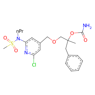 CCCN(c1cc(COCC(C)(Cc2ccccc2)OC(N)=O)cc(Cl)n1)S(C)(=O)=O